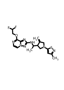 C=C1CN(c2cc(C)ns2)CC1C(C)Nc1nc2c(OCC(F)F)nccn2n1